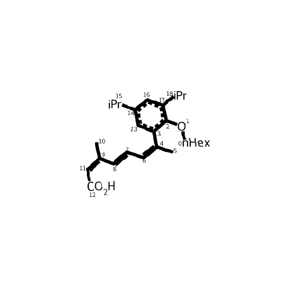 CCCCCCOc1c(\C(C)=C/C=C/C(C)=C\C(=O)O)cc(C(C)C)cc1C(C)C